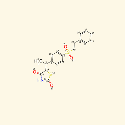 CC(c1ccc(S(=O)(=O)CCc2ccccc2)cc1)C1SC(=O)NC1=O